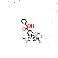 CC(C)C1(C(C)C)C=CC(C(=O)C(O)c2ccccc2)=CC1